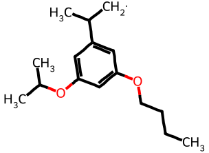 [CH2]C(C)c1cc(OCCCC)cc(OC(C)C)c1